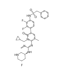 C=N/C(=N\c1c(C)cc(-c2ccc(NS(=O)(=O)Cc3ccccc3)c(F)c2F)c(=O)n1CC1CC1)N[C@@H]1CNC[C@@H](F)C1